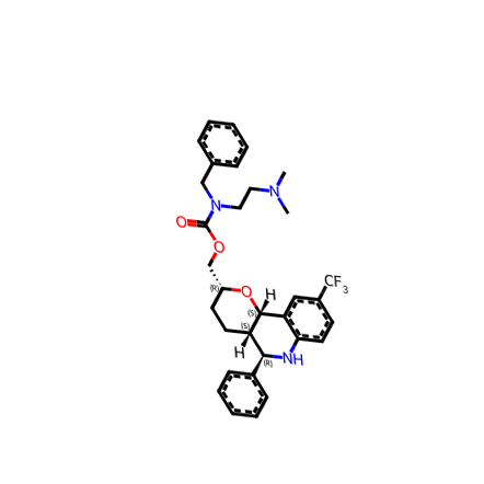 CN(C)CCN(Cc1ccccc1)C(=O)OC[C@H]1CC[C@@H]2[C@H](O1)c1cc(C(F)(F)F)ccc1N[C@H]2c1ccccc1